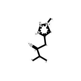 CC(C)C(=O)Cc1cn(C)nn1